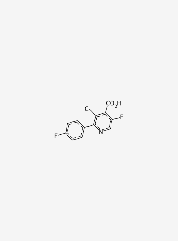 O=C(O)c1c(F)cnc(-c2ccc(F)cc2)c1Cl